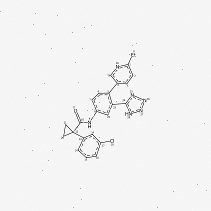 CCc1ccc(-c2ccc(NC(=O)C3(c4cccc(Cl)c4)CC3)cc2-c2nnn[nH]2)cn1